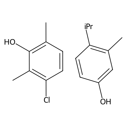 Cc1cc(O)ccc1C(C)C.Cc1ccc(Cl)c(C)c1O